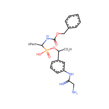 CCCCCC(NC(=O)OCc1ccccc1)P(=O)(O)OC(C(=O)O)c1cccc(NC(=N)CN)c1